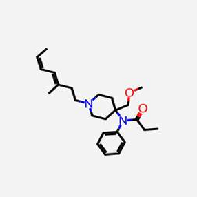 C/C=C\C=C(/C)CCN1CCC(COC)(N(C(=O)CC)c2ccccc2)CC1